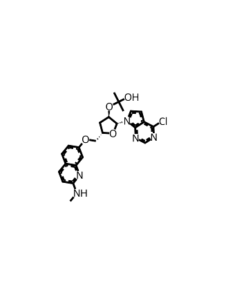 CNc1ccc2ccc(OC[C@@H]3C[C@@H](OC(C)(C)O)[C@H](n4ccc5c(Cl)ncnc54)O3)cc2n1